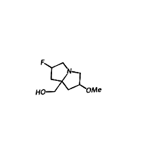 COC1CN2CC(F)CC2(CO)C1